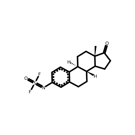 C[C@]12CC[C@@H]3c4ccc(N=S(=O)(F)F)cc4CC[C@H]3C1CCC2=O